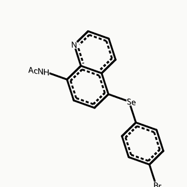 CC(=O)Nc1ccc([Se]c2ccc(Br)cc2)c2cccnc12